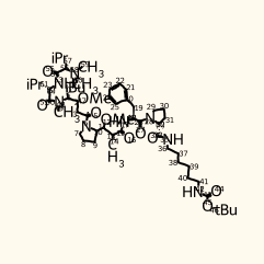 CCC(C)C(C(CC(=O)N1CCCC1C(OC)C(C)C(=O)N[C@@H](Cc1ccccc1)C(=O)N1CCC[C@@H]1C(=O)NCCCCCCNC(=O)OC(C)(C)C)OC)N(C)C(=O)[C@@H](NC(=O)C(C(C)C)N(C)C)C(C)C